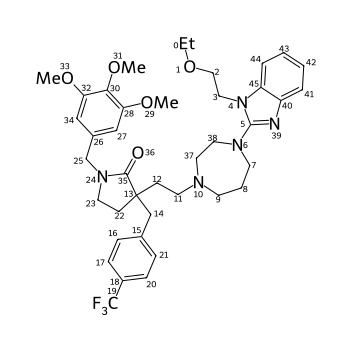 CCOCCn1c(N2CCCN(CCC3(Cc4ccc(C(F)(F)F)cc4)CCN(Cc4cc(OC)c(OC)c(OC)c4)C3=O)CC2)nc2ccccc21